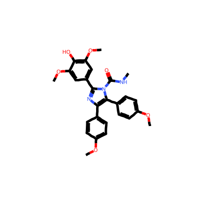 CNC(=O)n1c(-c2cc(OC)c(O)c(OC)c2)nc(-c2ccc(OC)cc2)c1-c1ccc(OC)cc1